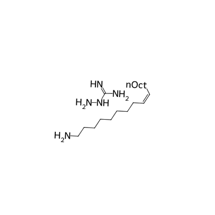 CCCCCCCC/C=C\CCCCCCCCN.N=C(N)NN